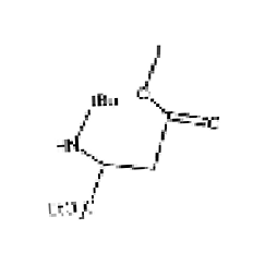 CCOC(=O)C(CC(=O)OI)NC(C)(C)C